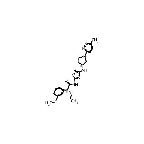 CCO[C@@H](C(=O)Nc1nnc(N[C@@H]2CCN(c3ccc(C)nn3)C2)s1)c1cccc(OC)c1